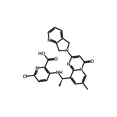 Cc1cc([C@@H](C)Nc2ccc(Cl)nc2C(=O)O)c2nc(N3Cc4cccnc4C3)cc(=O)n2c1